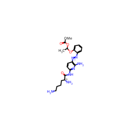 COC(=O)OC(C)Oc1ccccc1/N=N/c1ccc(NC(=O)[C@@H](N)CCCCN)nc1N